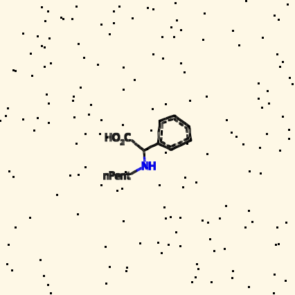 CCCCCNC(C(=O)O)c1ccccc1